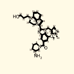 COc1cc(C(=O)N2CCC[C@@H](N)C2)cc2nc(-c3cc4cccc5c4n3CCN5CCCO)n(Cc3cnn(C)c3)c12